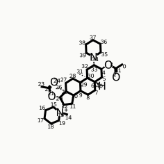 CC(=O)O[C@H]1C[C@@H]2CCC3C4C[C@H]([N+]5(C)CCCCC5)[C@H](OC(C)=O)[C@@]4(C)CCC3[C@@]2(C)C[C@@H]1N1CCCCC1